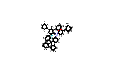 Fc1cc(-c2ccccc2)cc(-c2ccccc2)c1N(c1ccc(-c2ccccc2)cc1)c1ccc2c(c1)C(c1ccccc1)(c1ccccc1)c1ccccc1-2